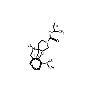 CCCN(CC)c1cccc(CN(CC)C2(C)CCN(C(=O)OC(C(F)(F)F)C(F)(F)F)CC2)c1Cl